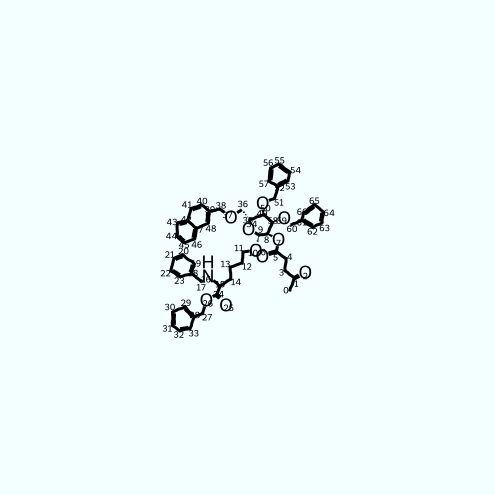 CC(=O)CCC(=O)O[C@H]1[C@H](OCCCCC(NCc2ccccc2)C(=O)OCc2ccccc2)O[C@H](COCc2ccc3ccccc3c2)[C@@H](OCc2ccccc2)[C@@H]1OCc1ccccc1